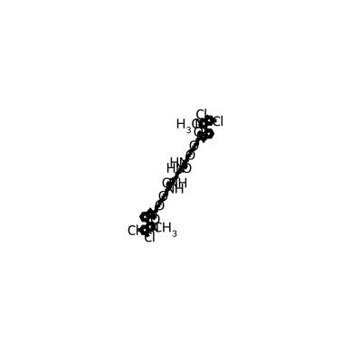 CN1Cc2c(Cl)cc(Cl)cc2C(c2cccc3c2C(=O)N(CCOCCOCCNC(=O)NCCCCNC(=O)NCCOCCOCCN2Cc4cccc(C5CN(C)Cc6c(Cl)cc(Cl)cc65)c4C2=O)C3)C1